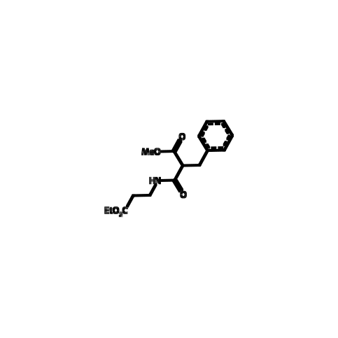 CCOC(=O)CCNC(=O)C(Cc1ccccc1)C(=O)OC